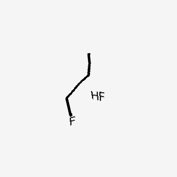 CCCF.F